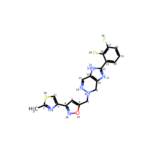 Cc1nc(-c2cc(CN3Cc4nc(-c5cccc(F)c5F)[nH]c4C=N3)on2)cs1